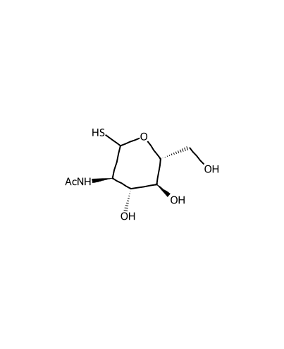 CC(=O)N[C@H]1C(S)O[C@H](CO)[C@@H](O)[C@@H]1O